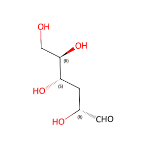 O=C[C@H](O)C[C@H](O)[C@H](O)CO